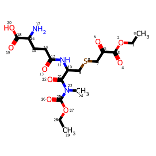 CCOC(=O)C(=O)CSCC(NC(=O)CCC(N)C(=O)O)C(=O)N(C)C(=O)OCC